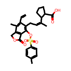 C=Cc1c(C)c2c(c(OS(=O)(=O)c3ccc(C)cc3)c1CC=C(C)C1CCCC1C(=O)O)C(=O)OC2